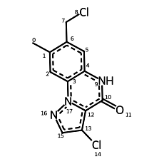 Cc1cc2c(cc1CCl)[nH]c(=O)c1c(Cl)cnn12